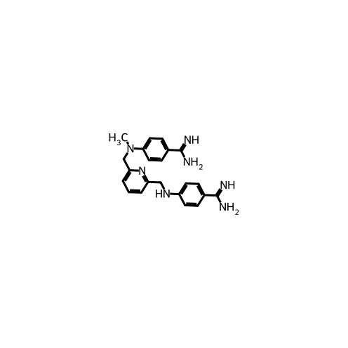 CN(Cc1cccc(CNc2ccc(C(=N)N)cc2)n1)c1ccc(C(=N)N)cc1